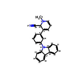 CN1C=CC=C(c2cccc(-n3c4ccccc4c4ccccc43)c2)C1C#N